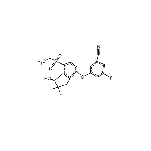 CCS(=O)(=O)c1ccc(Oc2cc(F)cc(C#N)c2)c2c1[C@H](O)C(F)(F)C2